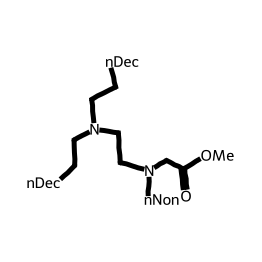 CCCCCCCCCCCCN(CCCCCCCCCCCC)CCN(CCCCCCCCC)CC(=O)OC